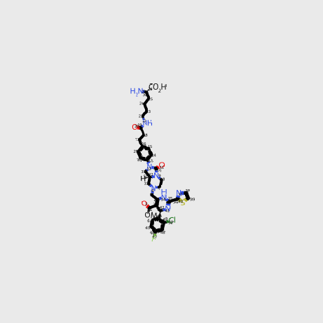 COC(=O)C1=C(CN2CCN3C(=O)N(c4ccc(CCC(=O)NCCCC[C@H](N)C(=O)O)cc4)C[C@@H]3C2)NC(c2nccs2)=N[C@H]1c1ccc(F)cc1Cl